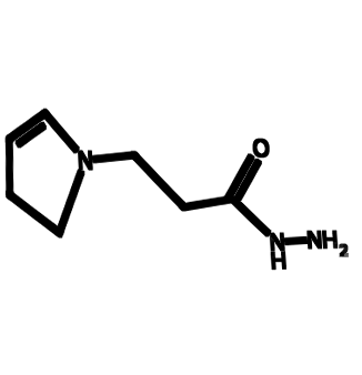 NNC(=O)CCN1C=CCC1